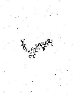 CC(CCC(C)C(=O)COCCCOC1CN(C(C)C)C1)N[C@H]1C[C@@H](Oc2cc(F)cc(CCC(=O)C(C)C)c2)C1